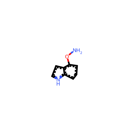 NOc1cccc2[nH]ccc12